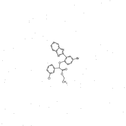 CCOC(=O)C(Oc1ccc(Br)cc1-n1nc2ccccc2n1)c1cccc(Cl)c1